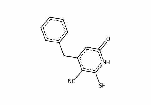 N#Cc1c(Cc2ccccc2)cc(=O)[nH]c1S